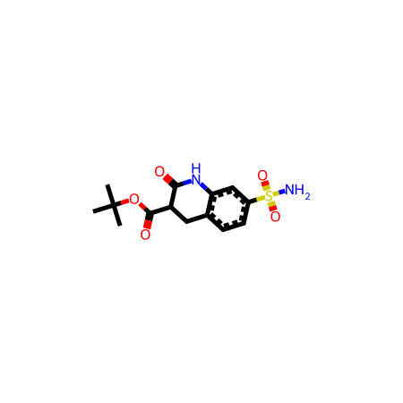 CC(C)(C)OC(=O)C1Cc2ccc(S(N)(=O)=O)cc2NC1=O